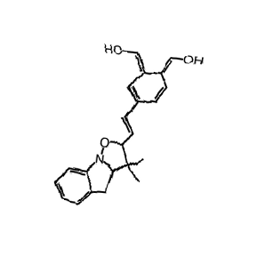 CC1(C)C(C=Cc2ccc(=CO)c(=CO)c2)ON2c3ccccc3CC21